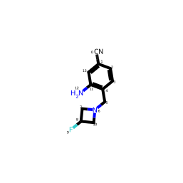 N#Cc1ccc(CN2CC(F)C2)c(N)c1